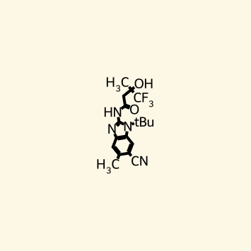 Cc1cc2nc(NC(=O)CC(C)(O)C(F)(F)F)n(C(C)(C)C)c2cc1C#N